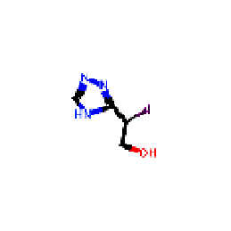 OC[C@H](I)c1nnc[nH]1